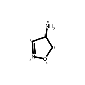 NC1C=NOC1